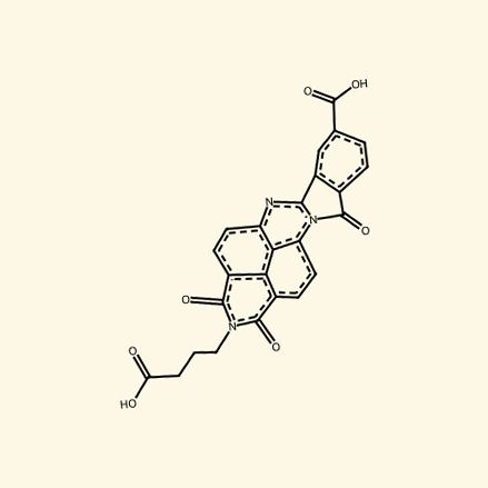 O=C(O)CCCn1c(=O)c2ccc3nc4n(c5ccc(c1=O)c2c35)C(=O)c1ccc(C(=O)O)cc1-4